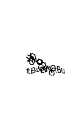 CC(C)(C)OC(=O)NCC(Cc1ccc(N2OC(C)(C)C(C)(C)O2)cc1)C(=O)OC(C)(C)C